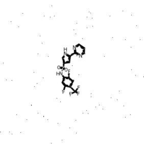 O=S(=O)(Nc1cc(F)c(C(F)(F)F)cc1F)c1c[nH]c(-c2ncccn2)c1